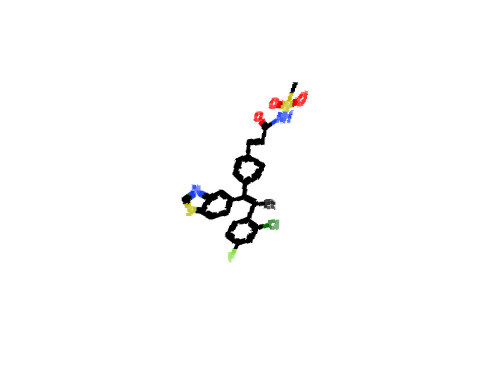 CCC(=C(c1ccc(C=CC(=O)NS(C)(=O)=O)cc1)c1ccc2scnc2c1)c1ccc(F)cc1Cl